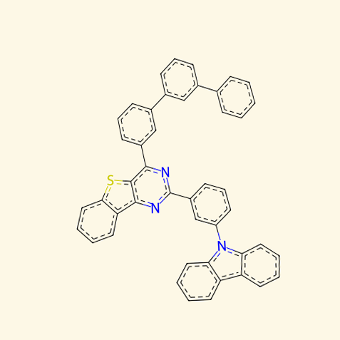 c1ccc(-c2cccc(-c3cccc(-c4nc(-c5cccc(-n6c7ccccc7c7ccccc76)c5)nc5c4sc4ccccc45)c3)c2)cc1